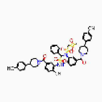 Cc1ccc(C(=O)N2CCC(c3ccc(C#N)cc3)CC2)cc1N(C(c1ccccc1)S(=O)(=O)Nc1cc(C(=O)N2CCC(c3ccc(C#N)cc3)CC2)ccc1C#N)S(=O)(=O)CS(C)(=O)=O